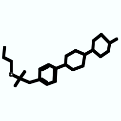 CCCOC(C)(C)Cc1ccc(C2CCC(C3CCC(C)CC3)CC2)cc1